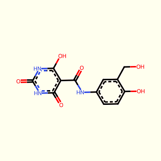 O=C(Nc1ccc(O)c(CO)c1)c1c(O)[nH]c(=O)[nH]c1=O